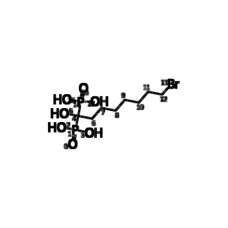 O=P(O)(O)C(O)(CCCCCCCBr)P(=O)(O)O